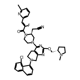 Cc1cccc(/C=C(\F)C(=O)N2CCN(c3nc(OC[C@@H]4CCCN4C)nc4c3CCN(c3cccc5cccc(Cl)c35)C4)C[C@@H]2CC#N)n1